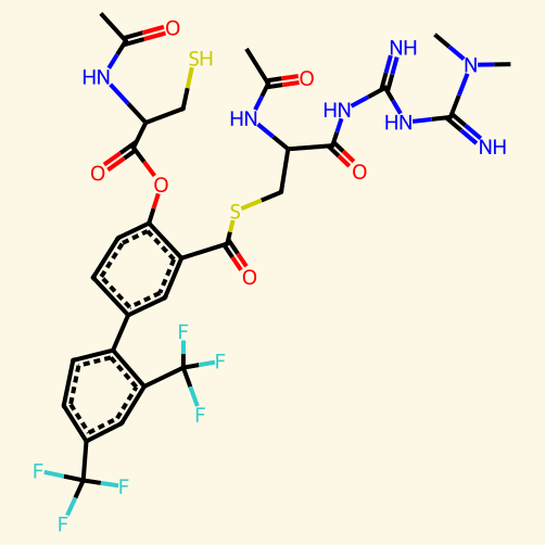 CC(=O)NC(CSC(=O)c1cc(-c2ccc(C(F)(F)F)cc2C(F)(F)F)ccc1OC(=O)C(CS)NC(C)=O)C(=O)NC(=N)NC(=N)N(C)C